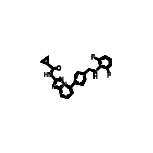 O=C(Nc1nc2cccc(-c3ccc(CNc4c(F)cccc4F)cc3)n2n1)C1CC1